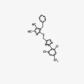 N#Cc1nc(SCc2cnn(-c3c(Cl)cc(C(F)(F)F)cc3Cl)n2)n(Cc2ccccc2)c1C#N